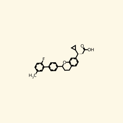 Cc1ccc(F)c(-c2ccc(C3CCc4ccc([C@@H](CC(=O)O)C5CC5)cc4O3)cc2)c1